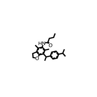 CCCC(=O)Nc1c(C)c2c(c(C(C)c3ccc(C(C)C)cc3)c1C)OCC2